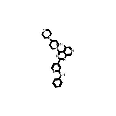 COc1cncc2nc(-c3ccnc(Nc4ccccc4)c3)nc(N3CCC(N4CCOCC4)CC3)c12